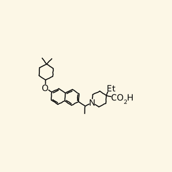 CCC1(C(=O)O)CCN(C(C)c2ccc3cc(OC4CCC(C)(C)CC4)ccc3c2)CC1